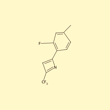 Cc1ccc(C2=CC(C(F)(F)F)=N2)c(F)c1